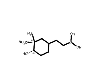 N[C@]1(C(=O)O)CC(CCB(O)O)CC[C@@H]1O